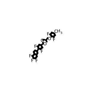 Cc1cc(F)c(OCC2COC(c3cc(F)c(-c4ccc5c(F)c(F)c(F)cc5c4)c(F)c3)OC2)c(F)c1